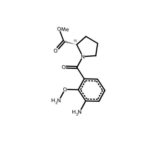 COC(=O)[C@@H]1CCCN1C(=O)c1cccc(N)c1ON